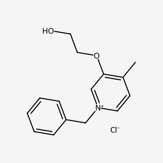 Cc1cc[n+](Cc2ccccc2)cc1OCCO.[Cl-]